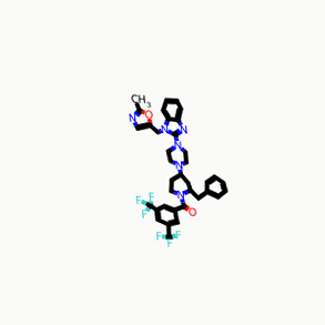 Cc1ncc(Cn2c(N3CCN(C4CCN(C(=O)c5cc(C(F)(F)F)cc(C(F)(F)F)c5)C(Cc5ccccc5)C4)CC3)nc3ccccc32)o1